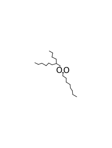 CCCCCCCCC(=O)OCC(CCCC)CCCCCC